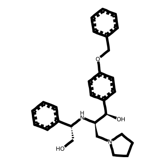 OC[C@@H](N[C@H](CN1CCCC1)[C@H](O)c1ccc(OCc2ccccc2)cc1)c1ccccc1